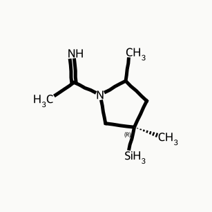 CC(=N)N1C[C@](C)([SiH3])CC1C